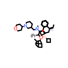 C/C=C(/CC(CC(C(C)C(C)C)N(C)CC1CCCN(C2CCOCC2)C1)B(OC1C(C)CC2CC1C2(C)C)C1CCC1)c1ccccc1C1CCC1